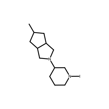 CC1CC2CN(C3CCCN(I)C3)CC2C1